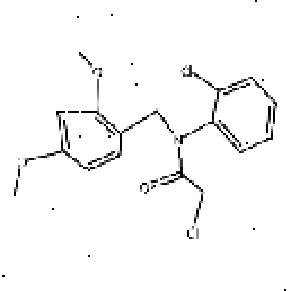 COc1ccc(CN(C(=O)CCl)c2ccccc2Cl)c(OC)c1